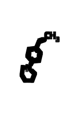 CC=Cc1ccc(N2CCCCC2)cc1